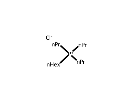 CCCCCC[P+](CCC)(CCC)CCC.[Cl-]